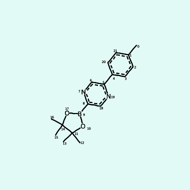 Cc1ccc(-c2cnc(B3OC(C)(C)C(C)(C)O3)cn2)cc1